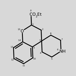 CCOC(=O)C1CC2(CCNCC2)c2ccccc2O1